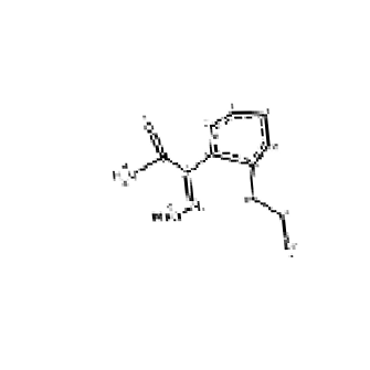 CON=C(C(N)=O)c1ccccc1CCBr